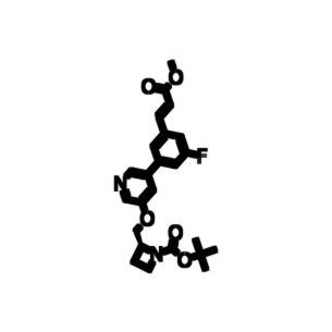 COC(=O)/C=C/c1cc(F)cc(-c2cncc(OC[C@@H]3CCN3C(=O)OC(C)(C)C)c2)c1